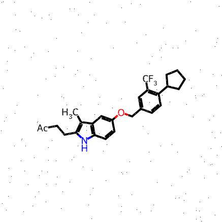 CC(=O)CCc1[nH]c2ccc(OCc3ccc(C4CCCC4)c(C(F)(F)F)c3)cc2c1C